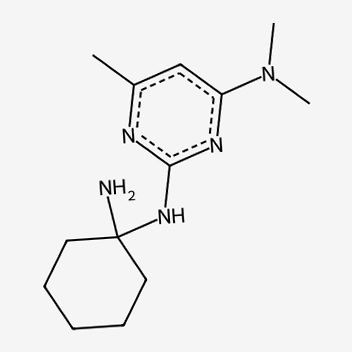 Cc1cc(N(C)C)nc(NC2(N)CCCCC2)n1